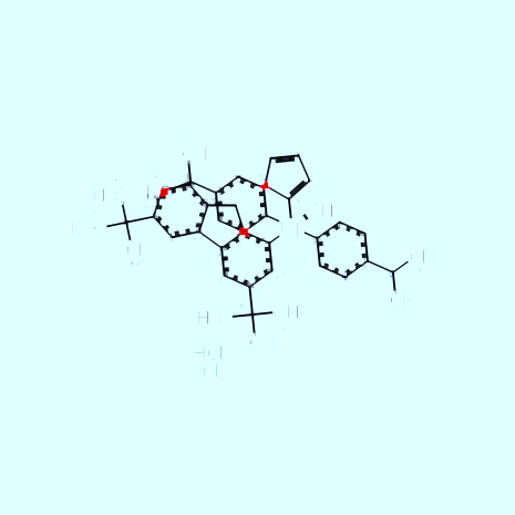 Cl.Cl.[CH2]=[Hf]([C]1=CC=CC1)([c]1ccc(C(C)C)cc1)([c]1ccc(C(C)C)cc1)[c]1cc(C(C)(C)C)cc2c1Cc1ccc(C(C)(C)C)cc1-2